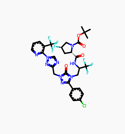 CC(C)(C)OC(=O)N1C[C@H](F)C[C@H]1C(=O)NC(Cn1c(-c2ccc(Cl)cc2)nn(Cc2ncn(-c3ncccc3C(F)(F)F)n2)c1=O)C(F)(F)F